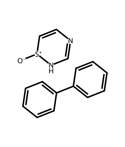 [O-][S+]1C=CN=CN1.c1ccc(-c2ccccc2)cc1